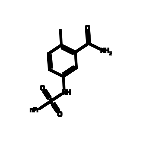 CCCS(=O)(=O)Nc1ccc(C)c(C(N)=O)c1